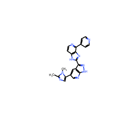 Cc1ncc(-c2cnc3[nH]nc(-c4nc5c(-c6ccncc6)nccc5[nH]4)c3c2)n1C